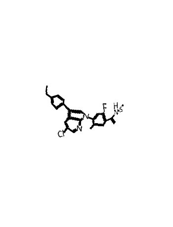 C=C(NSC)c1cc(C)c(-n2cc(-c3ccc(CC)cc3)c3cc(Cl)cnc32)cc1F